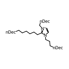 CCCCCCCCCCCCCCCCc1n(CCCCCCCCCCCCC)cc[n+]1CCCCCCCCCCC